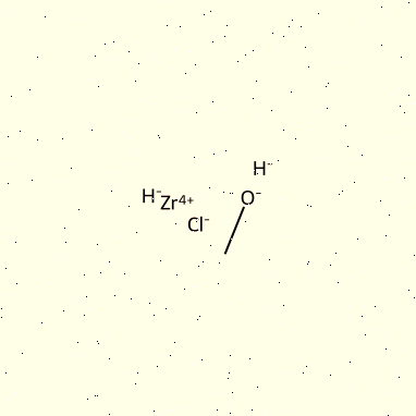 C[O-].[Cl-].[H-].[H-].[Zr+4]